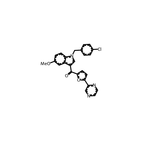 COc1ccc2c(c1)c(C(=O)c1ccc(-c3cnccn3)o1)cn2Cc1ccc(Cl)cc1